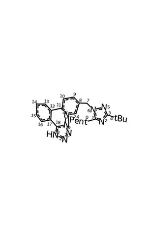 CCCCCc1nc(C(C)(C)C)nn1Cc1ccc(-c2ccccc2-c2nnn[nH]2)nc1